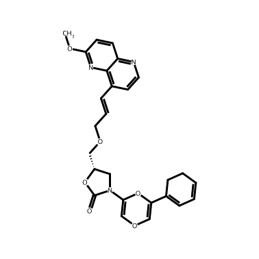 COc1ccc2nccc(/C=C/COC[C@@H]3CN(C4=COC=C(C5=CC=CCC5)O4)C(=O)O3)c2n1